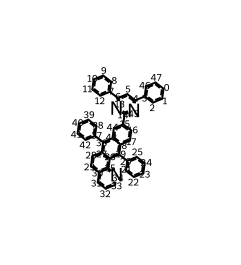 c1ccc(-c2cc(-c3ccccc3)nc(-c3ccc4c(-c5ccccc5)c5c(ccc6cccnc65)c(-c5ccccc5)c4c3)n2)cc1